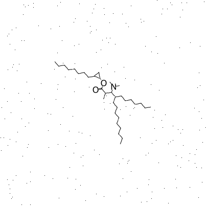 CCCCCCCCCC(CCCCCCC)C(C(C)C(=O)OC1CC1CCCCCCCC)N(C)C